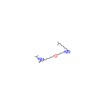 C=C(CCCCCC(C)C)NCCCCCOCCCCCCCCC(=C)NCC(C)C